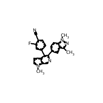 Cc1nn(C)c2ccc(-c3ncc4c(ccn4C)c3-c3ccc(C#N)c(F)c3)cc12